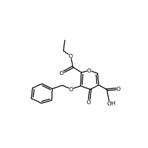 CCOC(=O)c1occ(C(=O)O)c(=O)c1OCc1ccccc1